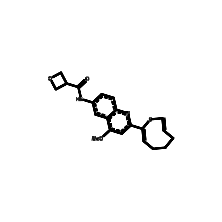 COc1cc(/C2=C/CCC/C=C/S2)nc2ccc(NC(=O)C3COC3)cc12